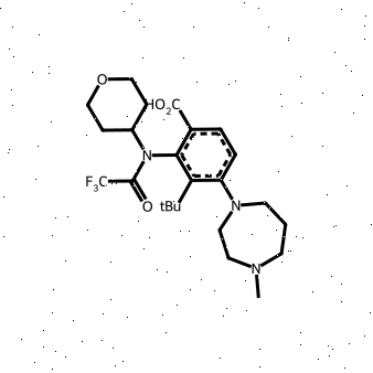 CN1CCCN(c2ccc(C(=O)O)c(N(C(=O)C(F)(F)F)C3CCOCC3)c2C(C)(C)C)CC1